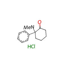 CNC1(c2ccccc2)CCCCC1=O.Cl